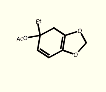 CCC1(OC(C)=O)C=CC2=C(C1)OCO2